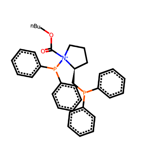 CCCCOC(=O)[N+]1(P(c2ccccc2)c2ccccc2)CCC[C@H]1CP(c1ccccc1)c1ccccc1